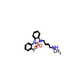 CNC/C=C/CN1c2ccccc2N(c2ccccc2F)S1(=O)=O